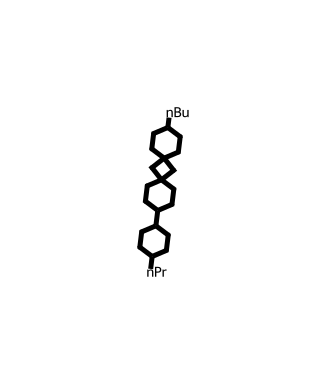 CCCCC1CCC2(CC1)CC1(CCC(C3CCC(CCC)CC3)CC1)C2